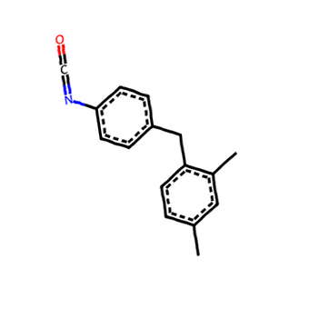 Cc1ccc(Cc2ccc(N=C=O)cc2)c(C)c1